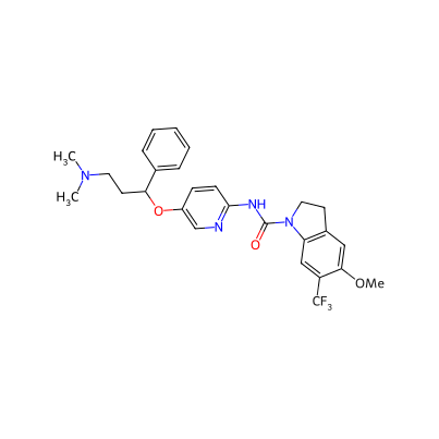 COc1cc2c(cc1C(F)(F)F)N(C(=O)Nc1ccc(OC(CCN(C)C)c3ccccc3)cn1)CC2